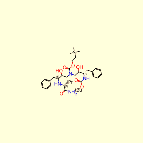 CC(C)[C@H](N[C@@H](Cc1ccccc1)C(O)CN(CC(O)[C@H](Cc1ccccc1)NC(=O)OC(C)(C)C)C(=O)OCC[Si](C)(C)C)C(N)=O